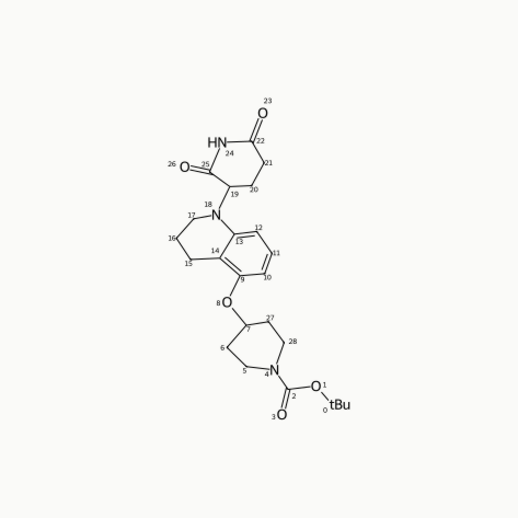 CC(C)(C)OC(=O)N1CCC(Oc2cccc3c2CCCN3C2CCC(=O)NC2=O)CC1